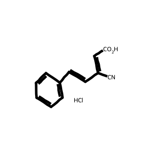 Cl.N#CC(C=Cc1ccccc1)=CC(=O)O